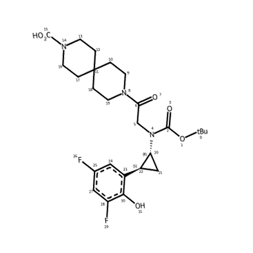 CC(C)(C)OC(=O)N(CC(=O)N1CCC2(CCN(C(=O)O)CC2)CC1)[C@@H]1C[C@H]1c1cc(F)cc(F)c1O